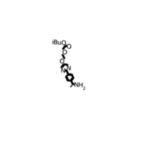 CC(C)COC(=O)COCCOc1cnc(-c2ccc([C@H](C)N)cc2)nc1